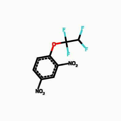 O=[N+]([O-])c1ccc(OC(F)(F)C(F)F)c([N+](=O)[O-])c1